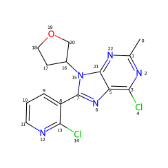 Cc1nc(Cl)c2nc(-c3cccnc3Cl)n(C3CCOC3)c2n1